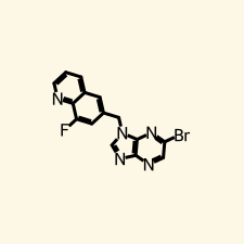 Fc1cc(Cn2cnc3ncc(Br)nc32)cc2cccnc12